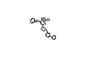 Brc1cnn2c(NCc3cccnc3)cc(C3CCCN(Cc4cccc(-c5ccccc5)c4)C3)nc12